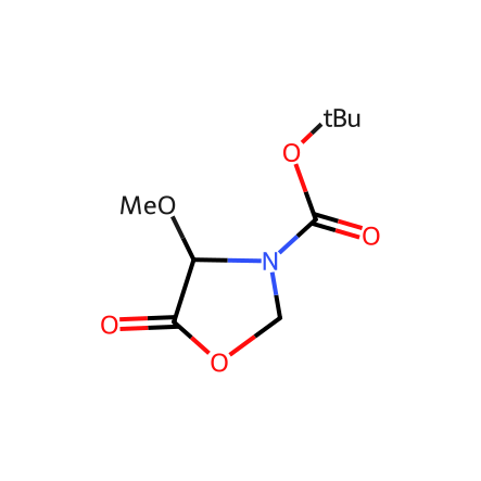 COC1C(=O)OCN1C(=O)OC(C)(C)C